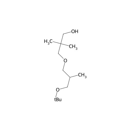 CC(COCC(C)(C)CO)COC(C)(C)C